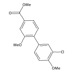 COC(=O)c1ccc(-c2ccc(OC)c(Cl)c2)c(OC)c1